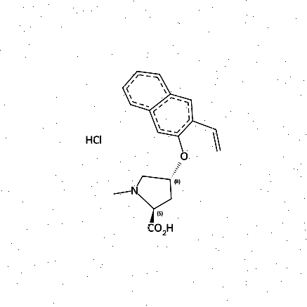 C=Cc1cc2ccccc2cc1O[C@@H]1C[C@@H](C(=O)O)N(C)C1.Cl